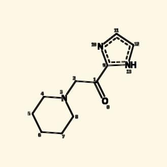 O=C(CN1CCCCC1)c1ncc[nH]1